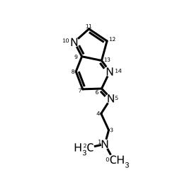 CN(C)CCN=C1C=CC2=NC=CC2=N1